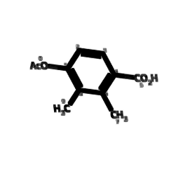 CC(=O)Oc1ccc(C(=O)O)c(C)c1C